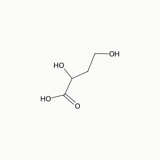 O=C(O)C(O)CCO